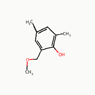 COCc1cc(C)cc(C)c1O